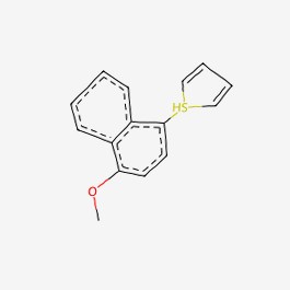 COc1ccc([SH]2C=CC=C2)c2ccccc12